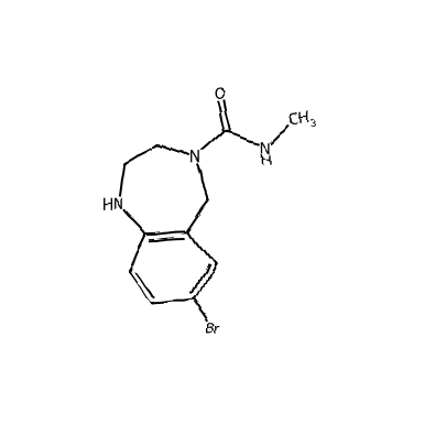 CNC(=O)N1CCNc2ccc(Br)cc2C1